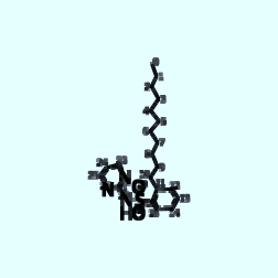 CCCCCCCCCCCc1ccccc1S(=O)(=O)Nc1ncccn1